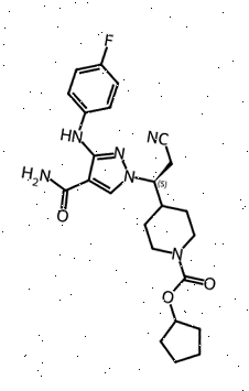 N#CC[C@@H](C1CCN(C(=O)OC2CCCC2)CC1)n1cc(C(N)=O)c(Nc2ccc(F)cc2)n1